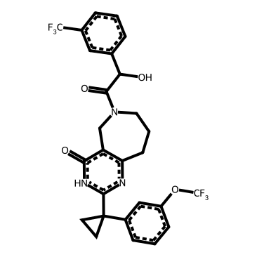 O=C(C(O)c1cccc(C(F)(F)F)c1)N1CCCc2nc(C3(c4cccc(OC(F)(F)F)c4)CC3)[nH]c(=O)c2C1